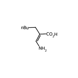 CCCCCC(=CN)C(=O)O